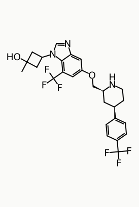 CC1(O)CC(n2cnc3cc(OC[C@@H]4C[C@H](c5ccc(C(F)(F)F)cc5)CCN4)cc(C(F)(F)F)c32)C1